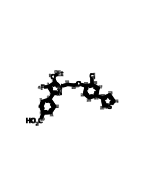 CCOc1c(F)c(-c2ccc(C(=O)O)cc2)nn1CCOc1ccc(-c2ccsc2)cc1Cl